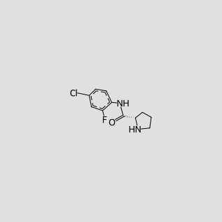 O=C(Nc1ccc(Cl)cc1F)[C@@H]1CCCN1